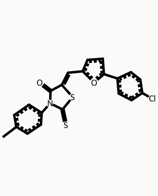 Cc1ccc(N2C(=O)C(=Cc3ccc(-c4ccc(Cl)cc4)o3)SC2=S)cc1